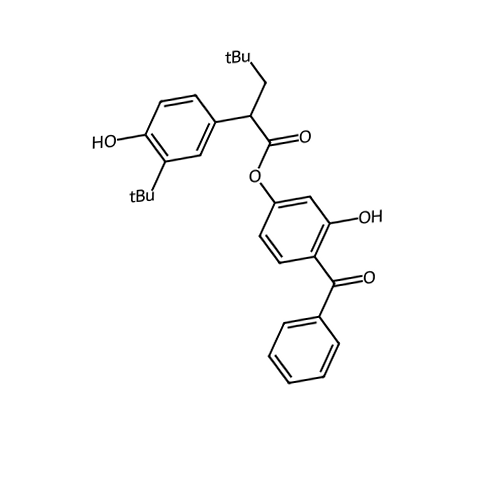 CC(C)(C)CC(C(=O)Oc1ccc(C(=O)c2ccccc2)c(O)c1)c1ccc(O)c(C(C)(C)C)c1